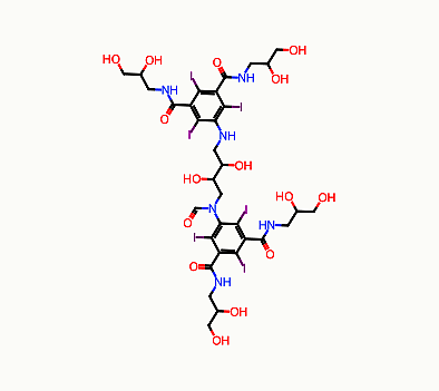 O=CN(CC(O)C(O)CNc1c(I)c(C(=O)NCC(O)CO)c(I)c(C(=O)NCC(O)CO)c1I)c1c(I)c(C(=O)NCC(O)CO)c(I)c(C(=O)NCC(O)CO)c1I